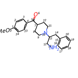 COc1ccc(C(=O)C2CCN(C(CN)Cc3ccccc3)CC2)cc1